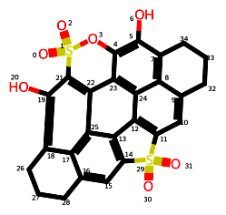 O=S1(=O)Oc2c(O)c3c4c(cc5c6c7c(cc8c9c(c(O)c1c(c2c46)c97)CCC8)S5(=O)=O)CCC3